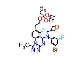 CCOC(C)(OCC)OCCc1ccc2c(c(N(CC3COC3)c3cc(F)cc(Br)c3)nc3nnc(C)n32)c1F